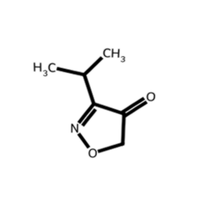 CC(C)C1=NOCC1=O